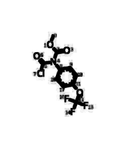 COC(=O)N(C(=O)Cl)c1ccc(OC(F)(F)F)cc1